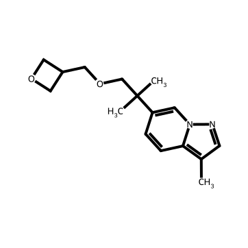 Cc1cnn2cc(C(C)(C)COCC3COC3)ccc12